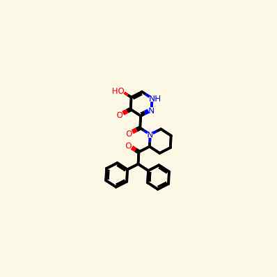 O=C(C(c1ccccc1)c1ccccc1)C1CCCCN1C(=O)c1n[nH]cc(O)c1=O